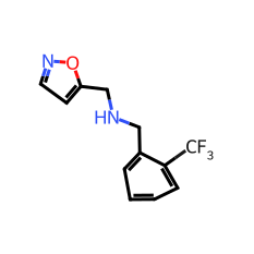 FC(F)(F)c1ccccc1CNCc1ccno1